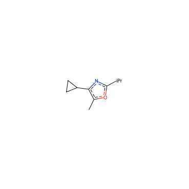 Cc1oc(C(C)C)nc1C1CC1